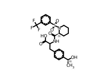 C[C@H](O)c1ccc(CC(NC(=O)[C@@H]2CCCCN2S(=O)(=O)c2cccc(C(F)(F)F)c2)C(=O)O)cc1